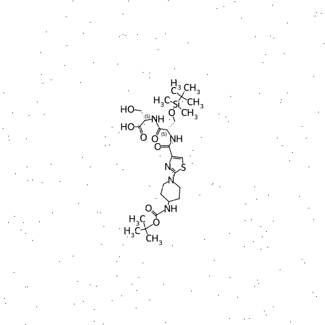 CC(C)(C)OC(=O)NC1CCN(c2nc(C(=O)N[C@@H](CO[Si](C)(C)C(C)(C)C)C(=O)N[C@@H](CO)C(=O)O)cs2)CC1